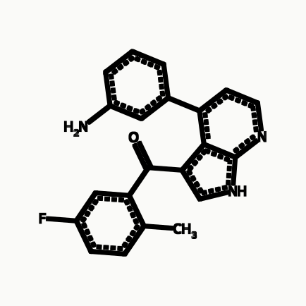 Cc1ccc(F)cc1C(=O)c1c[nH]c2nccc(-c3cccc(N)c3)c12